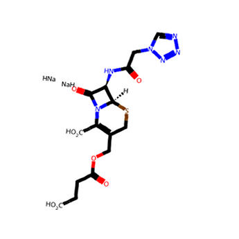 O=C(O)CCC(=O)OCC1=C(C(=O)O)N2C(=O)[C@@H](NC(=O)Cn3cnnn3)[C@H]2SC1.[NaH].[NaH]